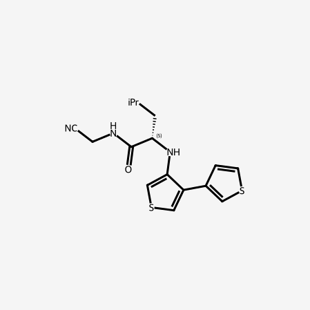 CC(C)C[C@H](Nc1cscc1-c1ccsc1)C(=O)NCC#N